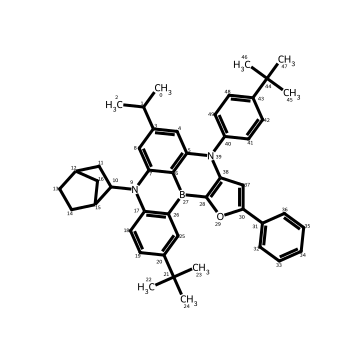 CC(C)c1cc2c3c(c1)N(C1CC4CCC1C4)c1ccc(C(C)(C)C)cc1B3c1oc(-c3ccccc3)cc1N2c1ccc(C(C)(C)C)cc1